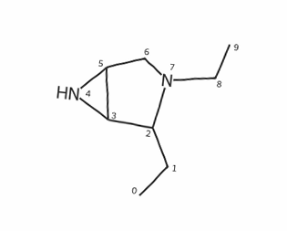 CCC1C2NC2CN1CC